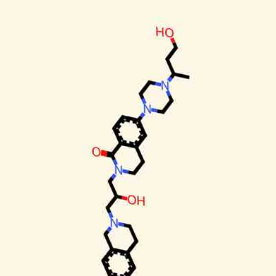 CC(CCO)N1CCN(c2ccc3c(c2)CCN(CC(O)CN2CCc4ccccc4C2)C3=O)CC1